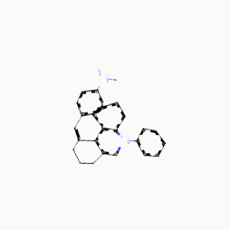 CN(C)c1ccc(/C=C2/CCCc3c[n+](-c4ccccc4)c4ccccc4c32)cc1